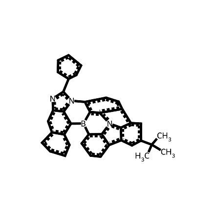 CC(C)(C)c1cc2c3cccc4c3n3c5c6c(ccc5c(c1)c23)-n1c(-c2ccccc2)nc2cc3ccccc3c(c21)B46